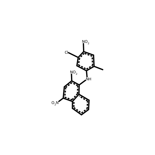 Cc1cc([N+](=O)[O-])c(Cl)cc1Nc1c([N+](=O)[O-])cc([N+](=O)[O-])c2ccccc12